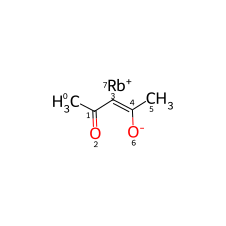 CC(=O)/C=C(/C)[O-].[Rb+]